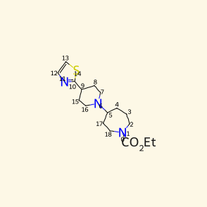 CCOC(=O)N1CCCC(N2CCC(c3nccs3)CC2)CC1